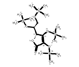 C[Si](C)(C)OC[C@H](O[Si](C)(C)C)[C@H]1OC(=O)C(O[Si](C)(C)C)=C1O[Si](C)(C)C